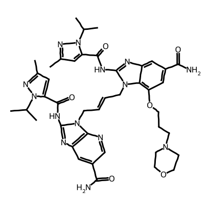 Cc1cc(C(=O)Nc2nc3cc(C(N)=O)cnc3n2CC=CCn2c(NC(=O)c3cc(C)nn3C(C)C)nc3cc(C(N)=O)cc(OCCCN4CCOCC4)c32)n(C(C)C)n1